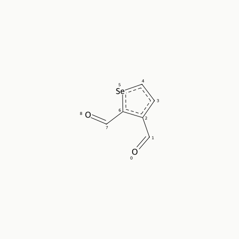 O=Cc1cc[se]c1C=O